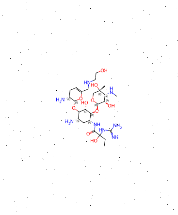 CCC(O)(NC(=N)N)C(=O)N[C@@H]1C[C@H](N)C(O[C@H]2OC(CNCCO)=CC[C@H]2N)[C@H](O)[C@H]1O[C@H]1OC[C@](C)(O)[C@H](NC)[C@H]1O